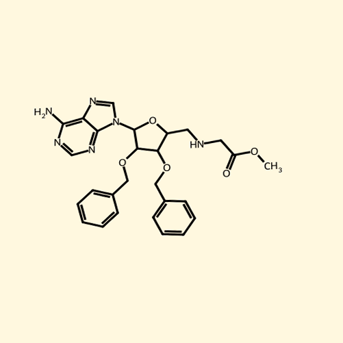 COC(=O)CNCC1OC(n2cnc3c(N)ncnc32)C(OCc2ccccc2)C1OCc1ccccc1